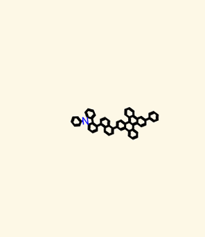 c1ccc(-c2ccc3c(c2)c2ccccc2c2c4ccc(-c5cccc6c(-c7cccc8c7c7ccccc7n8-c7ccccc7)cccc56)cc4c4ccccc4c32)cc1